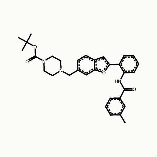 Cc1cccc(C(=O)Nc2ccccc2-c2cc3ccc(CN4CCN(C(=O)OC(C)(C)C)CC4)cc3o2)c1